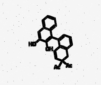 CC(=O)C1(C(C)=O)C=Cc2c(cccc2-c2c(O)c(O)cc3ccccc23)C1